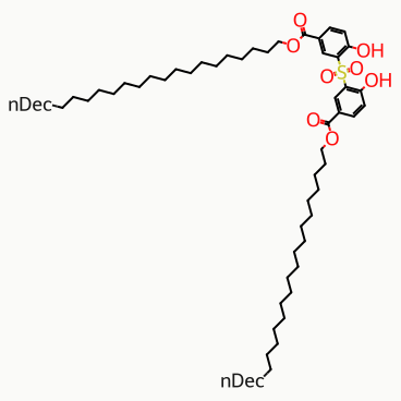 CCCCCCCCCCCCCCCCCCCCCCCCCCCCOC(=O)c1ccc(O)c(S(=O)(=O)c2cc(C(=O)OCCCCCCCCCCCCCCCCCCCCCCCCCCCC)ccc2O)c1